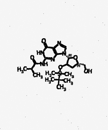 CC(C)C(=O)Nc1nc2c(ncn2[C@@H]2O[C@H](CO)CC2O[Si](C)(C)C(C)(C)C)c(=O)[nH]1